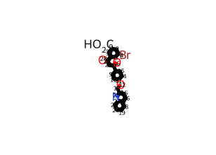 O=C(O)c1cc(Br)c2oc(-c3ccc(OCc4ccc5ccccc5n4)cc3)cc(=O)c2c1